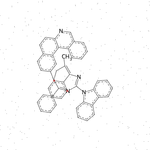 C\C1=C(c2ccccc2-c2ccc3ccc4ncc5ccccc5c4c3c2)/N=C(n2c3ccccc3c3ccccc32)\N=C(\c2ccccc2)CC1